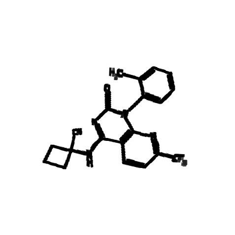 Cc1ccccc1-n1c(=O)nc(NC2(C#N)CCC2)c2ccc(C(F)(F)F)nc21